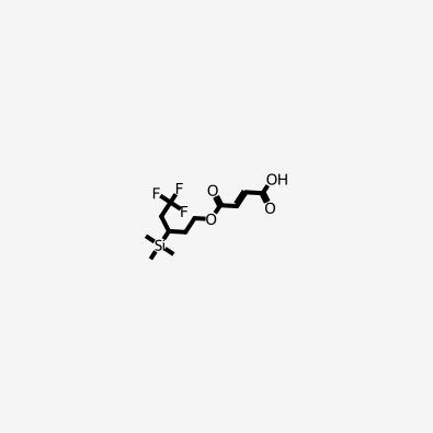 C[Si](C)(C)C(CCOC(=O)C=CC(=O)O)CC(F)(F)F